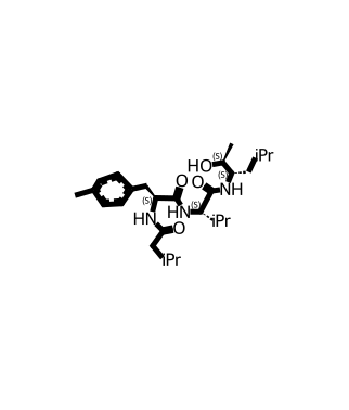 Cc1ccc(C[C@H](NC(=O)CC(C)C)C(=O)N[C@H](C(=O)N[C@@H](CC(C)C)[C@H](C)O)C(C)C)cc1